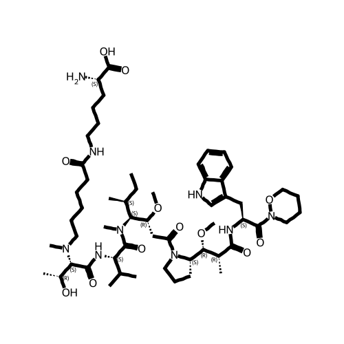 CC[C@H](C)[C@@H]([C@@H](CC(=O)N1CCC[C@H]1[C@H](OC)[C@@H](C)C(=O)N[C@@H](Cc1c[nH]c2ccccc12)C(=O)N1CCCCO1)OC)N(C)C(=O)[C@@H](NC(=O)[C@H]([C@@H](C)O)N(C)CCCCCC(=O)NCCCC[C@H](N)C(=O)O)C(C)C